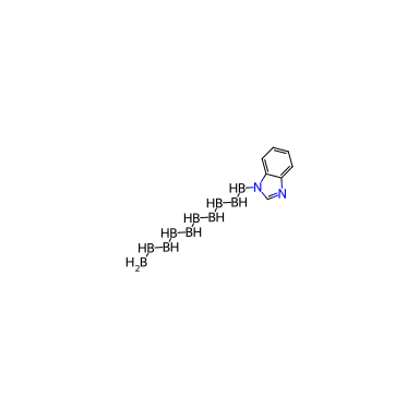 BBBBBBBBBBn1cnc2ccccc21